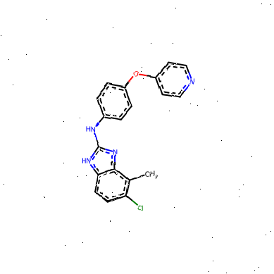 Cc1c(Cl)ccc2[nH]c(Nc3ccc(Oc4ccncc4)cc3)nc12